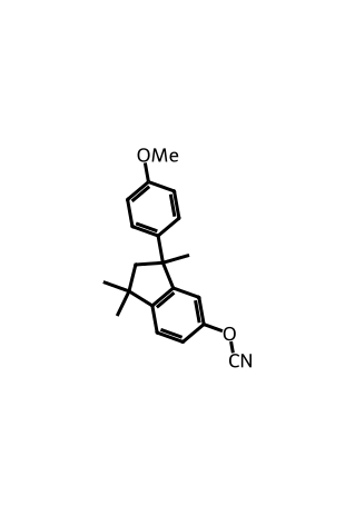 COc1ccc(C2(C)CC(C)(C)c3ccc(OC#N)cc32)cc1